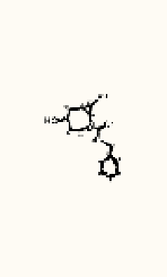 O=C(OCc1ccccc1)N1CCC(O)CC2C(F)C21